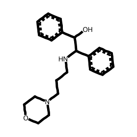 OC(c1ccccc1)C(NCCCN1CCOCC1)c1ccccc1